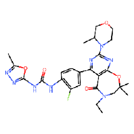 CCN1CC(C)(C)Oc2nc(N3CCOCC3C)nc(-c3ccc(NC(=O)Nc4nnc(C)o4)c(F)c3)c2C1=O